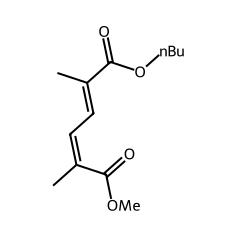 CCCCOC(=O)C(C)=CC=C(C)C(=O)OC